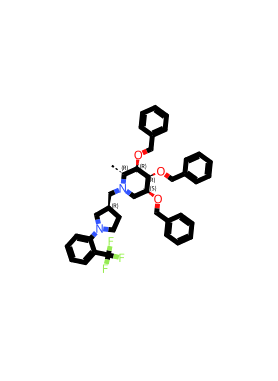 C[C@@H]1[C@@H](OCc2ccccc2)[C@H](OCc2ccccc2)[C@@H](OCc2ccccc2)CN1C[C@H]1CCN(c2ccccc2C(F)(F)F)C1